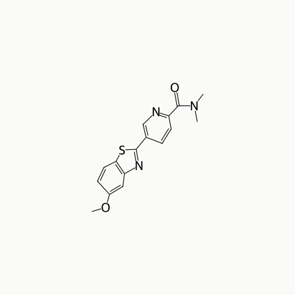 COc1ccc2sc(-c3ccc(C(=O)N(C)C)nc3)nc2c1